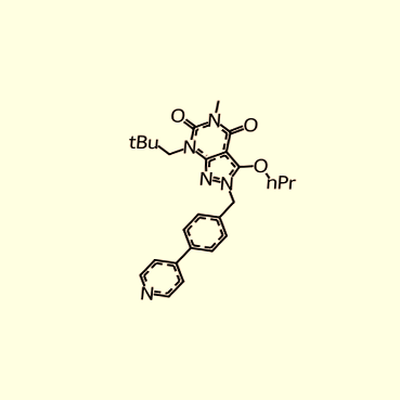 CCCOc1c2c(=O)n(C)c(=O)n(CC(C)(C)C)c2nn1Cc1ccc(-c2ccncc2)cc1